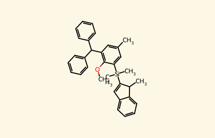 COc1c(C(c2ccccc2)c2ccccc2)cc(C)cc1[Si](C)(C)C1=Cc2ccccc2C1C